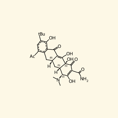 CC(=O)c1cc(C(C)(C)C)c(O)c2c1C[C@H]1C[C@H]3[C@H](N(C)C)C(O)=C(C(N)=O)C(=O)[C@@]3(O)C(O)=C1C2=O